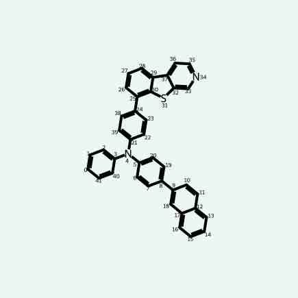 c1ccc(N(c2ccc(-c3ccc4ccccc4c3)cc2)c2ccc(-c3cccc4c3sc3cnccc34)cc2)cc1